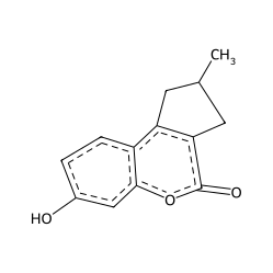 CC1Cc2c(c3ccc(O)cc3oc2=O)C1